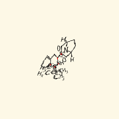 CN(C)CCS(=O)(=O)N1[C@@H]2CC[C@H]1C[C@H]([C@H](Cc1ccccc1)N[S@@+]([O-])C(C)(C)C)C2